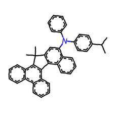 CC(C)c1ccc(N(c2ccccc2)c2cc3c(c4ccccc24)-c2c(c4ccccc4c4ccccc24)C3(C)C)cc1